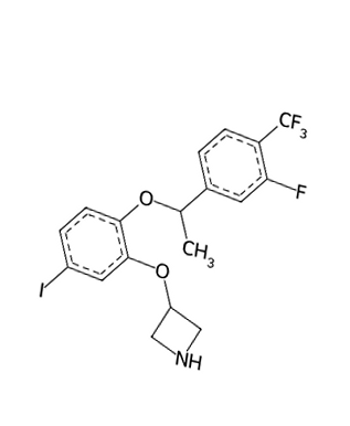 CC(Oc1ccc(I)cc1OC1CNC1)c1ccc(C(F)(F)F)c(F)c1